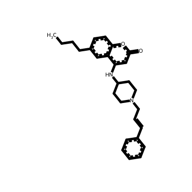 CCCCc1ccc2oc(=O)cc(NC3CCN(CC=Cc4ccccc4)CC3)c2c1